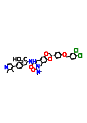 Cc1nccc(-c2ccc(C[C@H](NC(=O)[C@@H]3Cc4cc5c(cc4CN3C(=O)N(C)C)O[C@@H](c3ccc(OCc4ccc(Cl)c(Cl)c4)cc3)CO5)C(=O)O)cc2)c1C